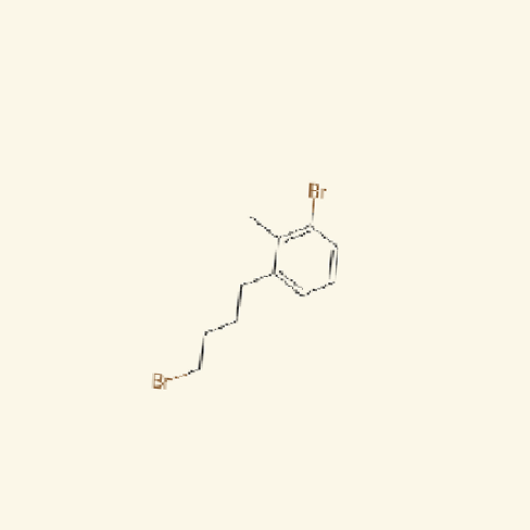 Cc1c(Br)cccc1CCCCBr